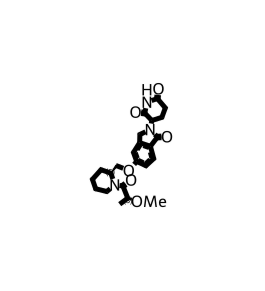 CO[C@@H](C)C(=O)N1CCCC[C@H]1COc1ccc2c(c1)CN(C1CCC(=O)NC1=O)C2=O